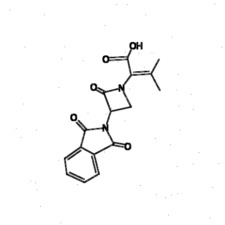 CC(C)=C(C(=O)O)N1CC(N2C(=O)c3ccccc3C2=O)C1=O